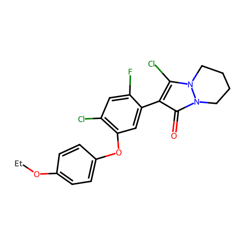 CCOc1ccc(Oc2cc(-c3c(Cl)n4n(c3=O)CCCC4)c(F)cc2Cl)cc1